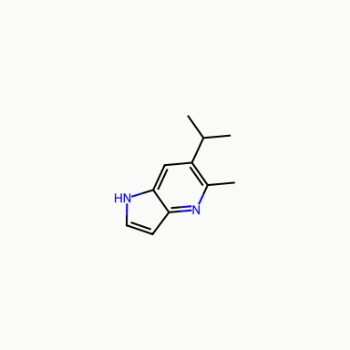 Cc1nc2cc[nH]c2cc1C(C)C